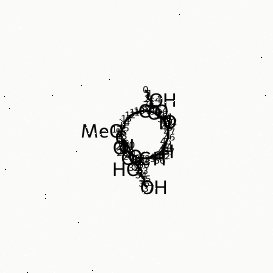 C/C=C/[C@H](O)C(C)(C)[C@@H]1C\C=C/C=C\C=C\[C@H](OC)Cc2nc(co2)C(=O)O[C@H](C(C)(C)[C@@H](O)/C=C/CCO)C/C=C\[C@H]2C[C@H]2/C=C/C=C\c2nc(co2)C(=O)O1